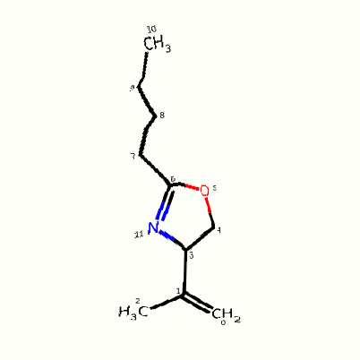 C=C(C)C1COC(CCCC)=N1